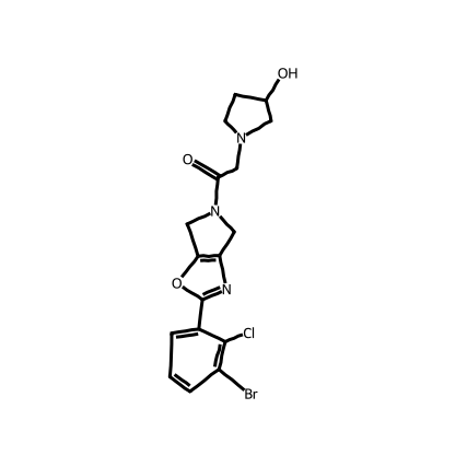 O=C(CN1CCC(O)C1)N1Cc2nc(-c3cccc(Br)c3Cl)oc2C1